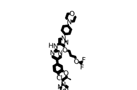 C[C@@H](Cn1cnnn1)Oc1cc(-c2cnc(Nc3cn([C@H]4CC[C@H](N5CCOCC5)CC4)nc3OCCCOC(F)F)nc2)ccc1Cl